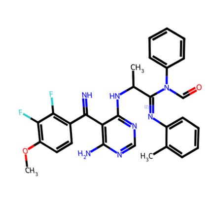 COc1ccc(C(=N)c2c(N)ncnc2NC(C)/C(=N/c2ccccc2C)N(C=O)c2ccccc2)c(F)c1F